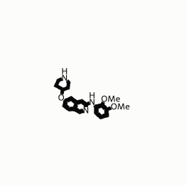 COc1cccc(Nc2cc3cc(OC4CCNCC4)ccc3cn2)c1OC